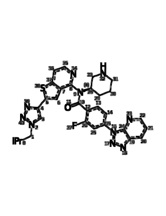 CC(C)Cn1cc(-c2cc3c(N(C(=O)c4ccc(-n5nnc6cccnc65)cc4F)[C@@H]4CCCNC4)nccc3s2)nn1